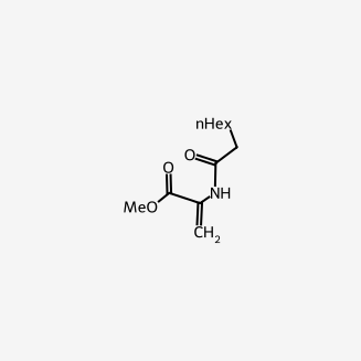 C=C(NC(=O)CCCCCCC)C(=O)OC